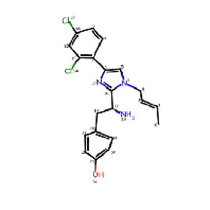 CC=CCn1cc(-c2ccc(Cl)cc2Cl)nc1[C@@H](N)Cc1ccc(O)cc1